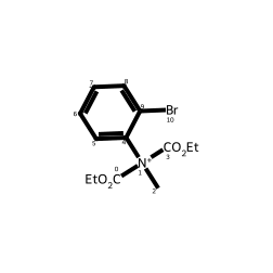 CCOC(=O)[N+](C)(C(=O)OCC)c1cc[c]cc1Br